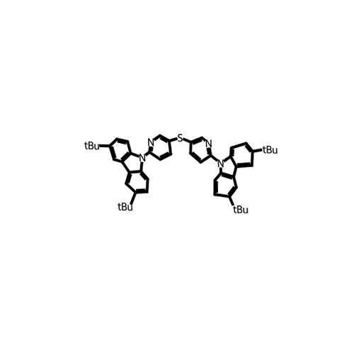 CC(C)(C)c1ccc2c(c1)c1cc(C(C)(C)C)ccc1n2-c1ccc(Sc2ccc(-n3c4ccc(C(C)(C)C)cc4c4cc(C(C)(C)C)ccc43)nc2)cn1